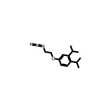 CC(C)c1ccc(OCCN=[N+]=[N-])cc1C(C)C